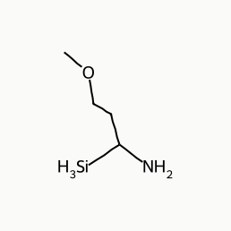 COCCC(N)[SiH3]